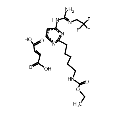 CCOC(=O)NCCCCCc1nccc(NC(N)=NCC(F)(F)F)n1.O=C(O)C=CC(=O)O